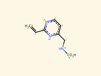 C=Cc1nccc(CNC(=O)O)n1